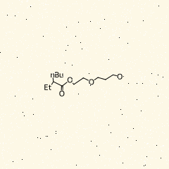 CCCCC(CC)C(=O)OCCOCCC[O]